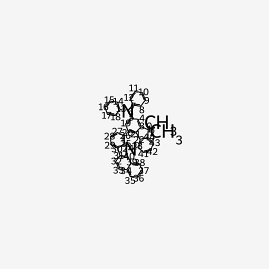 CC1(C)c2cc(N(c3ccccc3)c3ccccc3)ccc2-c2c(-n3c4ccccc4c4ccc5ccccc5c43)cccc21